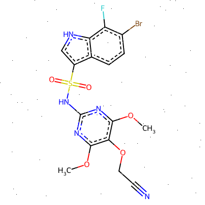 COc1nc(NS(=O)(=O)c2c[nH]c3c(F)c(Br)ccc23)nc(OC)c1OCC#N